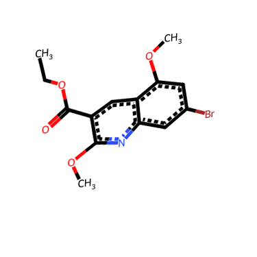 CCOC(=O)c1cc2c(OC)cc(Br)cc2nc1OC